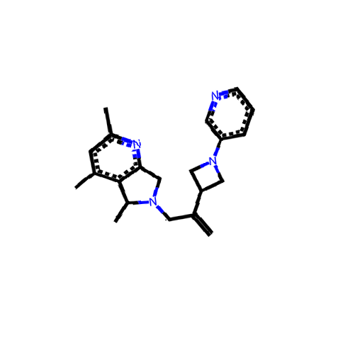 C=C([CH]N1Cc2nc(C)cc(C)c2C1C)C1CN(c2cccnc2)C1